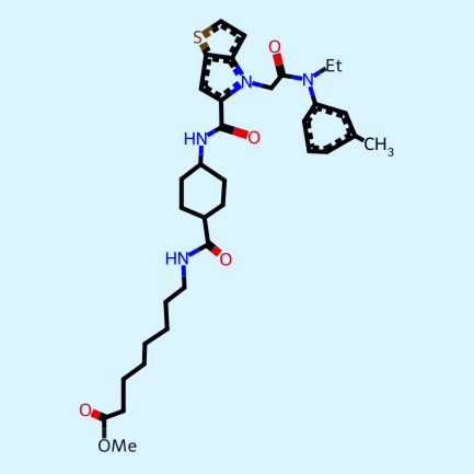 CCN(C(=O)Cn1c(C(=O)NC2CCC(C(=O)NCCCCCCCC(=O)OC)CC2)cc2sccc21)c1cccc(C)c1